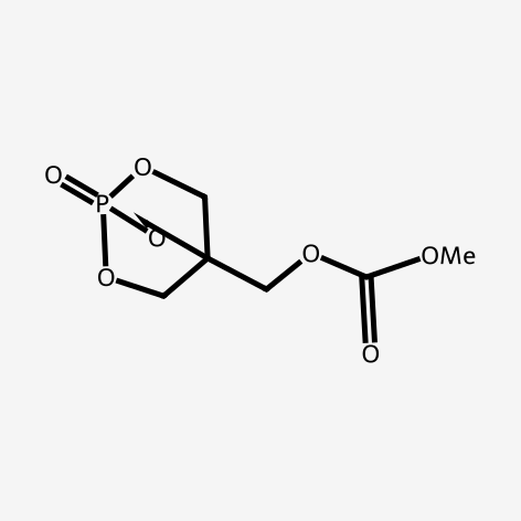 COC(=O)OCC12COP(=O)(OC1)OC2